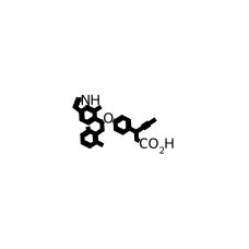 CC#CC(CC(=O)O)c1ccc(OC(Cc2c(C)cccc2C)c2ccc3cc[nH]c3c2C)cc1